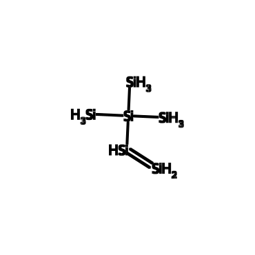 [SiH2]=[SiH][Si]([SiH3])([SiH3])[SiH3]